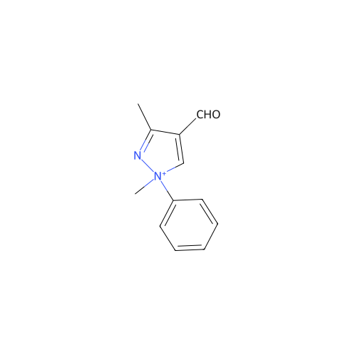 CC1=N[N+](C)(c2ccccc2)C=C1C=O